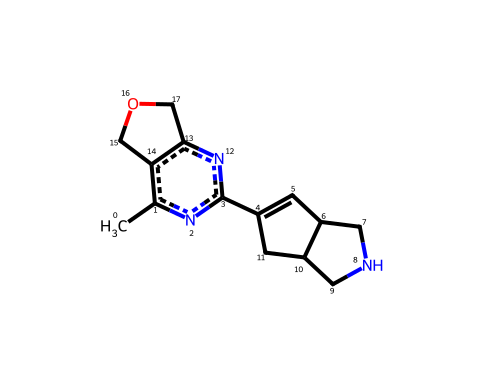 Cc1nc(C2=CC3CNCC3C2)nc2c1COC2